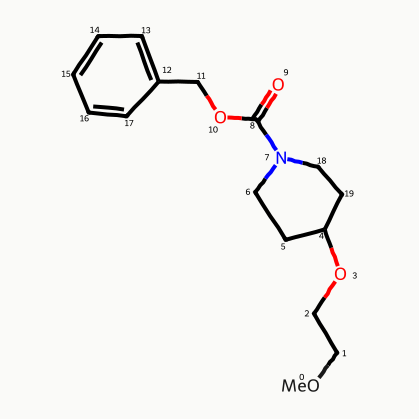 COCCOC1CCN(C(=O)OCc2ccccc2)CC1